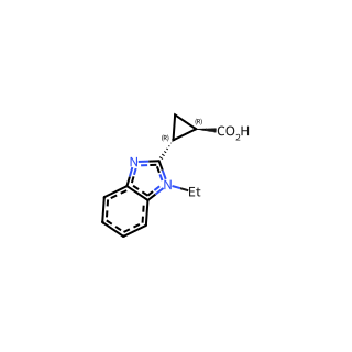 CCn1c([C@@H]2C[C@H]2C(=O)O)nc2ccccc21